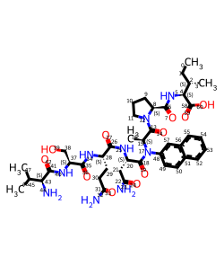 CC[C@H](C)[C@H](NC(=O)[C@@H]1CCCN1C(=O)[C@H](C)N(C(=O)[C@H](CC(N)=O)NC(=O)[C@H](CCC(N)=O)NC(=O)[C@H](CO)NC(=O)[C@@H](N)C(C)C)c1ccc2ccccc2c1)C(=O)O